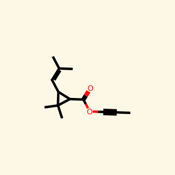 CC#COC(=O)C1C(C=C(C)C)C1(C)C